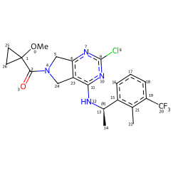 COC1(C(=O)N2Cc3nc(Cl)nc(N[C@H](C)c4cccc(C(F)(F)F)c4C)c3C2)CC1